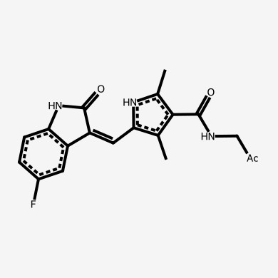 CC(=O)CNC(=O)c1c(C)[nH]c(/C=C2\C(=O)Nc3ccc(F)cc32)c1C